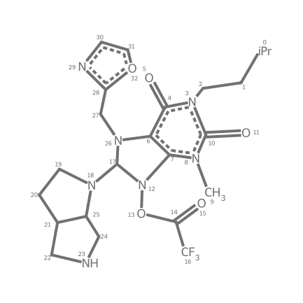 CC(C)CCn1c(=O)c2c(n(C)c1=O)N(OC(=O)C(F)(F)F)C(N1CCC3CNCC31)N2Cc1ncco1